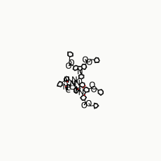 [C-]#[N+]c1cccc(-c2ccc(-n3c4ccc(C(=O)OCc5ccccc5)cc4c4cc(C(=O)OCc5ccccc5)ccc43)cc2-c2nc(-c3cccc(-c4ccccc4[N+]#[C-])c3)nc(-c3cc(-n4c5ccc(C(=O)OCc6ccccc6)cc5c5cc(C(=O)OCc6ccccc6)ccc54)ccc3-c3cccc(C#N)c3)n2)c1